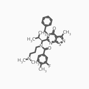 Cc1ccc(C(=O)N(CCCN(C)C)[C@H](c2nc3snc(C)c3c(=O)n2Cc2ccccc2)C(C)C)cc1F